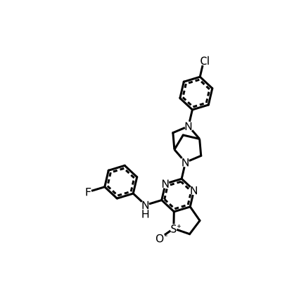 [O-][S+]1CCc2nc(N3CC4CC3CN4c3ccc(Cl)cc3)nc(Nc3cccc(F)c3)c21